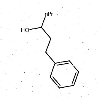 [CH2]CCC(O)CCc1ccccc1